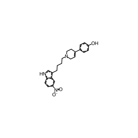 O=[N+]([O-])c1ccc2[nH]cc(CCCCN3CC=C(c4ccc(O)cc4)CC3)c2c1